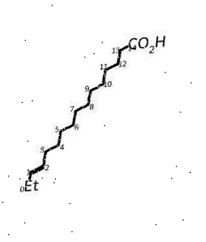 CCC=CCCCCCCCCCCCC(=O)O